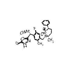 CO[C@@H](c1n[nH]c(=O)o1)c1cc(C)c(CN2[C@@H](C)CC[C@H](c3ccccc3)S2(=O)=O)cc1F